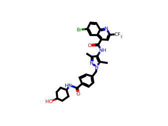 Cc1nn(Cc2ccc(C(=O)NC3CCC(O)CC3)cc2)c(C)c1NC(=O)c1cc(C(F)(F)F)nc2ccc(Br)cc12